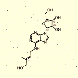 C/C(=C\CNc1ncnc2c1ncn2[C@@H]1O[C@H](CO)[C@@H](O)[C@H]1O)CO